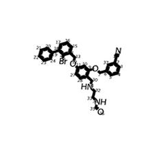 N#Cc1cccc(COc2cc(OCc3cccc(-c4ccccc4)c3Br)ccc2CNCCNC=O)c1